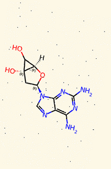 Nc1nc(N)c2ncn([C@H]3C[C@@]4(O)C(O)[C@H]4O3)c2n1